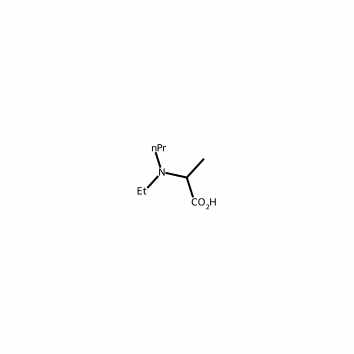 CCCN(CC)C(C)C(=O)O